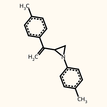 C=C(c1ccc(C)cc1)C1CN1c1ccc(C)cc1